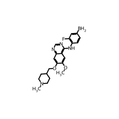 Bc1ccc(Nc2ncnc3cc(OCC4CCN(C)CC4)c(OC)cc23)c(F)c1